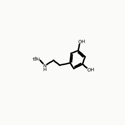 CC(C)(C)NCCc1cc(O)cc(O)c1